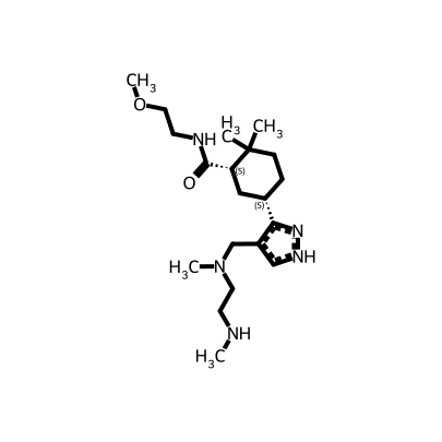 CNCCN(C)Cc1c[nH]nc1[C@H]1CCC(C)(C)[C@@H](C(=O)NCCOC)C1